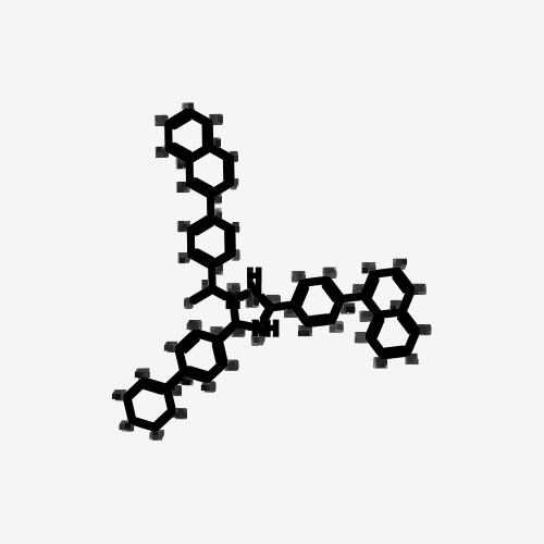 CC(c1ccc(-c2ccc3ccccc3c2)cc1)N1NC(c2ccc(-c3cccc4ccccc34)cc2)NC1c1ccc(C2=CCCCC2)cc1